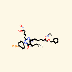 C=NO/C(=C\CC/C=c1/nc(CCCCC(=O)N=O)n(C2C=CC(P)=CC2)c(=O)/c1=C/CC)COCc1ccccc1